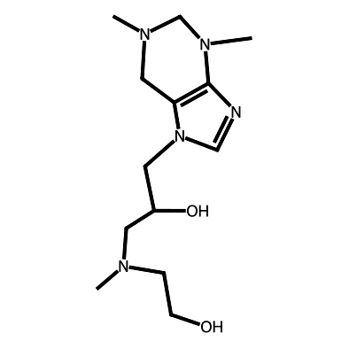 CN(CCO)CC(O)Cn1cnc2c1CN(C)CN2C